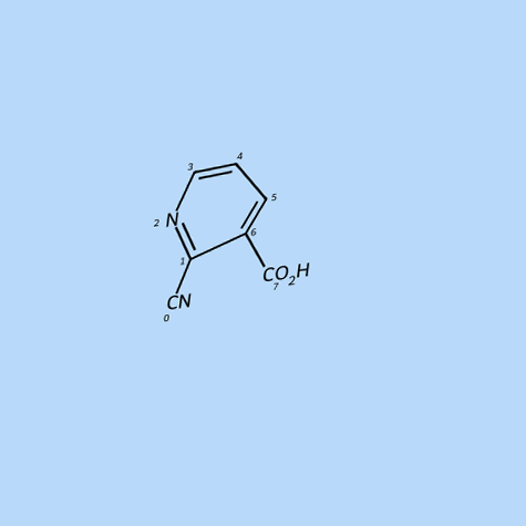 N#Cc1ncccc1C(=O)O